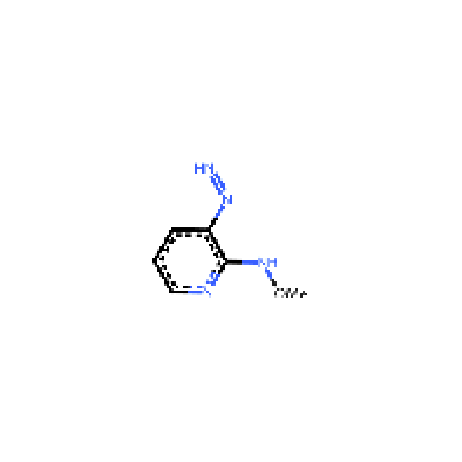 CONc1ncccc1N=N